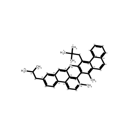 Cc1c2c(c(CC(C)(C)C)c3c1ccc1ccccc13)Oc1cc3cc(CC(C)C)ccc3c3cc[n+](C)c-2c13